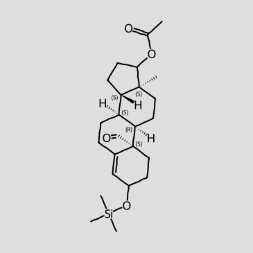 CC(=O)OC1CC[C@H]2[C@@H]3CCC4=CC(O[Si](C)(C)C)CC[C@]4(C=O)[C@@H]3CC[C@]12C